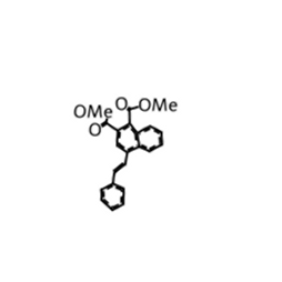 COC(=O)c1cc(C=Cc2ccccc2)c2ccccc2c1C(=O)OC